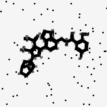 COc1ccc(F)cc1C(=O)NCc1ccc(-c2nn(C3CC4CCC(C3)N4C)c(N)c2C(N)=O)c2cc[nH]c12